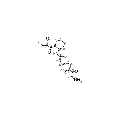 CCC(=O)C(=O)C1CCCCC1NC(=S)Nc1ccc(C(=O)NN)cc1